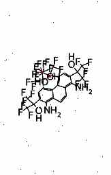 Nc1c(C(O)(C(F)(F)F)C(F)(F)F)cc(C(O)(C(F)(F)F)C(F)(F)F)c2c1ccc1c(N)c(C(O)(C(F)(F)F)C(F)(F)F)cc(C(O)(C(F)(F)F)C(F)(F)F)c12